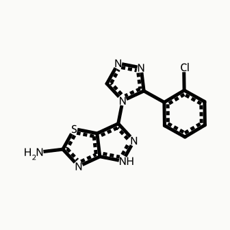 Nc1nc2[nH]nc(-n3cnnc3-c3ccccc3Cl)c2s1